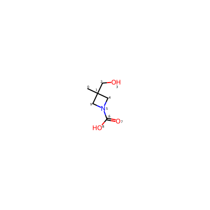 CC1(CO)CN(C(=O)O)C1